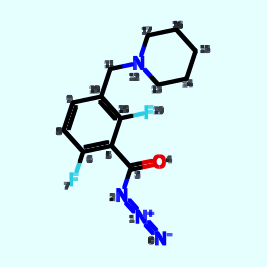 [N-]=[N+]=NC(=O)c1c(F)ccc(CN2CCCCC2)c1F